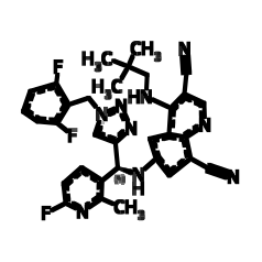 Cc1nc(F)ccc1[C@H](Nc1cc(C#N)c2ncc(C#N)c(NCC(C)(C)C)c2c1)c1cn(Cc2c(F)cccc2F)nn1